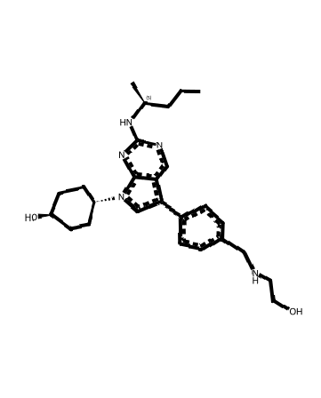 CCC[C@H](C)Nc1ncc2c(-c3ccc(CNCCO)cc3)cn([C@H]3CC[C@H](O)CC3)c2n1